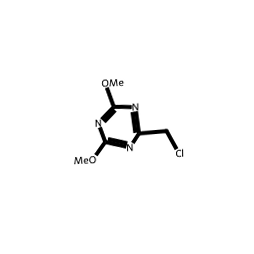 COc1nc(CCl)nc(OC)n1